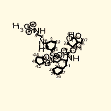 CS(=O)(=O)NCCNc1cccc(S(=O)(=O)N(C[C@@H](O)C(Cc2ccccc2)NC(=O)O[C@H]2CO[C@H]3OCC[C@H]32)OC2CCCC2)c1